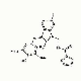 COc1cc(C=C2C(C)=C(CNC(=O)c3ccco3)c3cc(F)ccc32)cc(OC)c1O